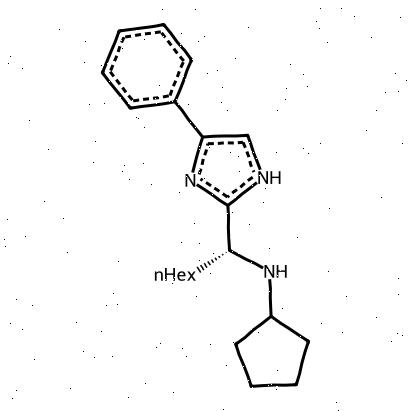 CCCCCC[C@@H](NC1CCCC1)c1nc(-c2ccccc2)c[nH]1